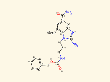 COc1cc(C(N)=O)cc2nc(N)n(CCCNC(=O)OCc3ccccc3)c12